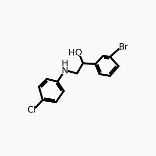 OC(CNc1ccc(Cl)cc1)c1cccc(Br)c1